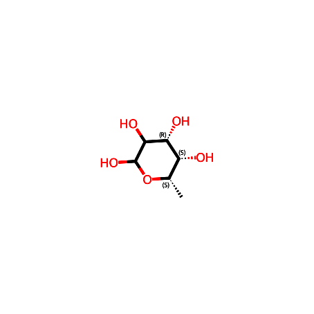 C[C@@H]1OC(O)C(O)[C@H](O)[C@@H]1O